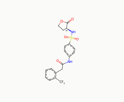 O=C(Cc1ccccc1C(F)(F)F)Nc1ccc(S(=O)(=O)N[C@H]2CCOC2=O)cc1